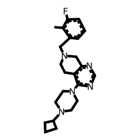 Cc1c(F)cccc1CN1CCc2c(ncnc2N2CCN(C3CCC3)CC2)C1